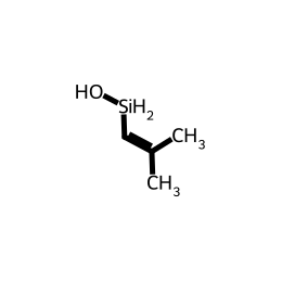 CC(C)=C[SiH2]O